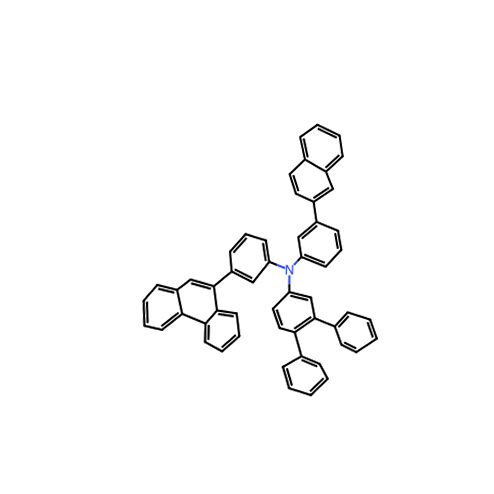 c1ccc(-c2ccc(N(c3cccc(-c4ccc5ccccc5c4)c3)c3cccc(-c4cc5ccccc5c5ccccc45)c3)cc2-c2ccccc2)cc1